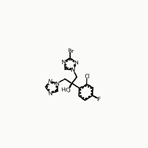 OC(Cn1cncn1)(Cn1cnc(Br)n1)c1ccc(F)cc1Cl